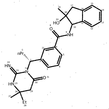 CCC[C@H](c1cccc(C(=O)NC2c3ccccc3CC2(C)O)c1)N1C(=N)NC(C)(CC)CC1=O